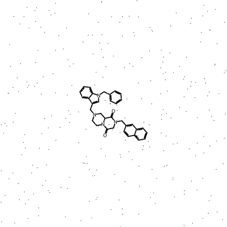 O=C1C2CN(Cc3cn(Cc4ccccc4)c4ccccc34)CCN2C(=O)CN1Cc1ccc2ccccc2c1